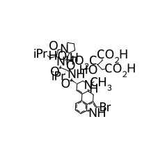 CC(C)C[C@H]1C(=O)N2CCC[C@H]2[C@]2(O)O[C@](NC(=O)[C@@H]3C=C4c5cccc6[nH]c(Br)c(c56)C[C@H]4N(C)C3)(C(C)C)C(=O)N12.O=C(O)CC(O)(CC(=O)O)C(=O)O